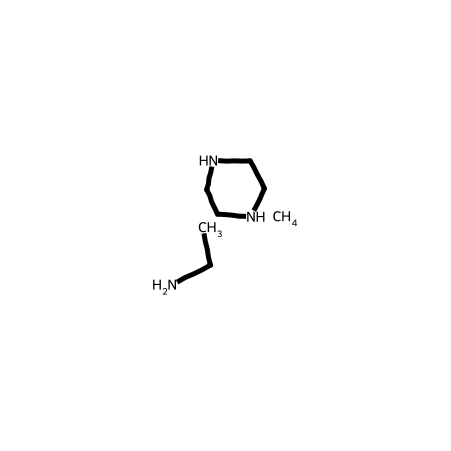 C.C1CNCCN1.CCN